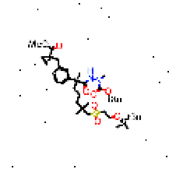 COC(=O)C1(Cc2cccc([C@@](C)(CCCC(C)(C)CS(=O)(=O)CCO[Si](C)(C)C(C)(C)C)C(=O)NN(C)C(=O)OC(C)(C)C)c2)CC1